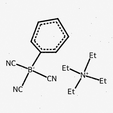 CC[N+](CC)(CC)CC.N#C[B-](C#N)(C#N)c1ccccc1